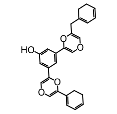 Oc1cc(C2=COC=C(CC3=CC=CCC3)O2)cc(C2=COC=C(C3=CC=CCC3)O2)c1